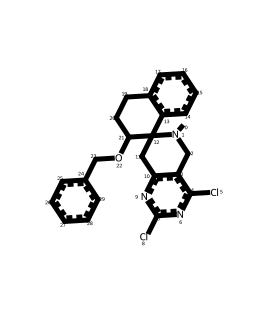 CN1Cc2c(Cl)nc(Cl)nc2CC12c1ccccc1CCC2OCc1ccccc1